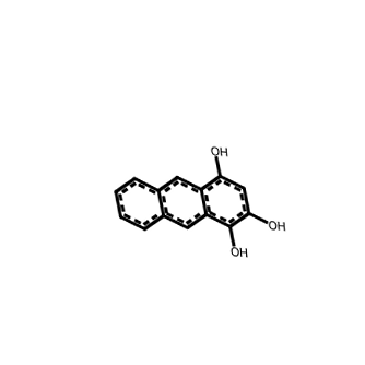 Oc1cc(O)c2cc3ccccc3cc2c1O